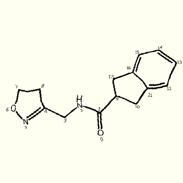 O=C(NCC1=NOCC1)C1Cc2ccccc2C1